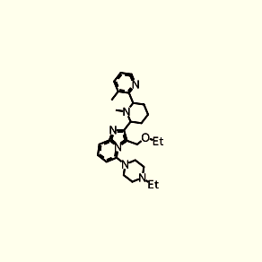 CCOCc1c(C2CCCC(c3ncccc3C)N2C)nc2cccc(N3CCN(CC)CC3)n12